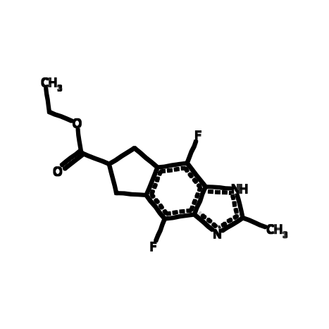 CCOC(=O)C1Cc2c(c(F)c3[nH]c(C)nc3c2F)C1